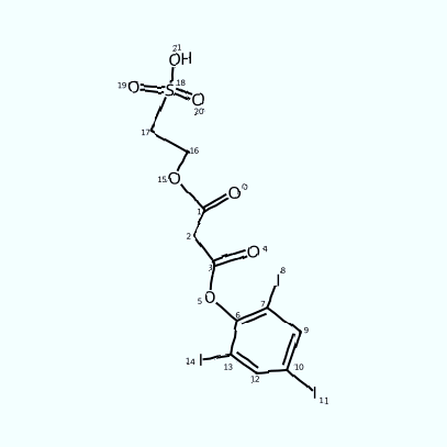 O=C(CC(=O)Oc1c(I)cc(I)cc1I)OCCS(=O)(=O)O